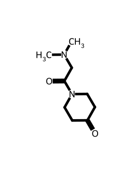 CN(C)CC(=O)N1CCC(=O)CC1